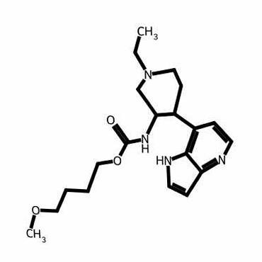 CCN1CCC(c2ccnc3cc[nH]c23)C(NC(=O)OCCCCOC)C1